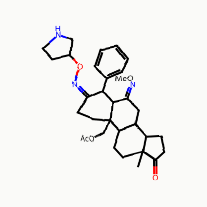 CO/N=C1/CC2C3CCC(=O)C3(C)CCC2C2(COC(C)=O)CC/C(=N/OC3CCNC3)C(c3ccccc3)C12